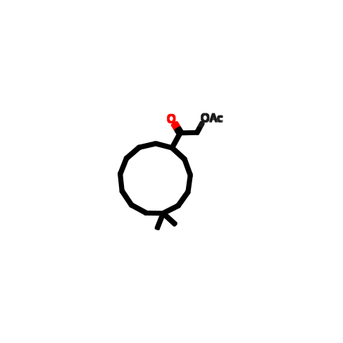 CC(=O)OCC(=O)C1CCCCCCCC(C)(C)CCCC1